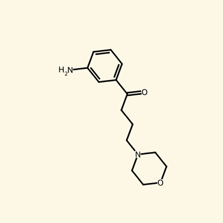 Nc1cccc(C(=O)CCCN2CCOCC2)c1